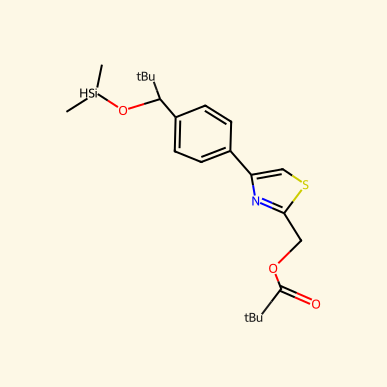 C[SiH](C)OC(c1ccc(-c2csc(COC(=O)C(C)(C)C)n2)cc1)C(C)(C)C